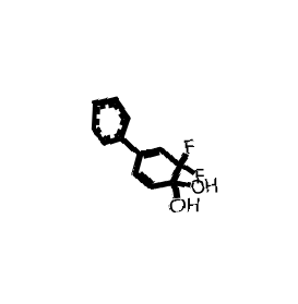 OC1(O)C=CC(c2ccccc2)=CC1(F)F